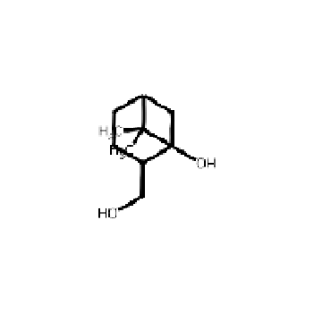 CC1(C)C2CCC(CO)C1(O)C2